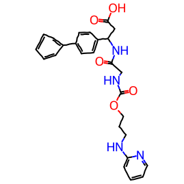 O=C(O)CC(NC(=O)CNC(=O)OCCCNc1ccccn1)c1ccc(-c2ccccc2)cc1